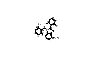 Oc1cccc2c1nc(-c1c(F)cccc1F)n2Cc1c(F)cccc1F